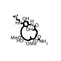 COC[C@@]1(OC(N)=O)/C=C\C=C(/C)C(=O)NC2=CC(O)C(NCCN(C)C)=C(CCC[C@H](OC)[C@H](O)[C@@H](C)/C=C/1C)C2O